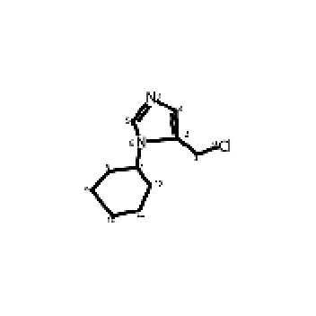 ClCc1cncn1C1CCCCC1